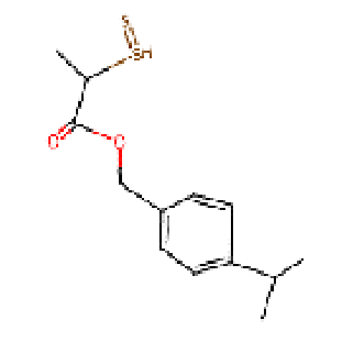 CC([SH]=S)C(=O)OCc1ccc(C(C)C)cc1